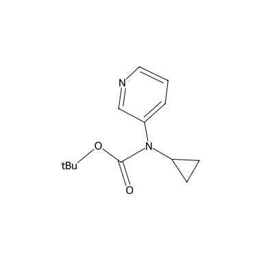 CC(C)(C)OC(=O)N(c1cccnc1)C1CC1